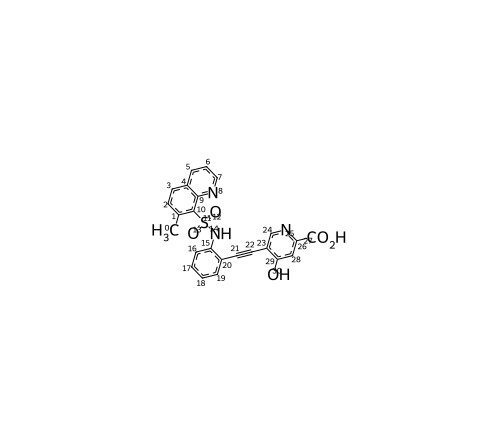 Cc1ccc2cccnc2c1S(=O)(=O)Nc1ccccc1C#Cc1cnc(C(=O)O)cc1O